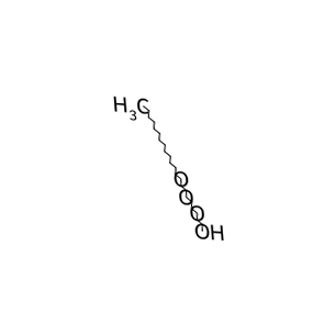 CCCCCCCCCCCCCOCCOCCOCCO